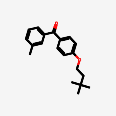 Cc1cccc(C(=O)c2ccc(OCCC(C)(C)C)cc2)c1